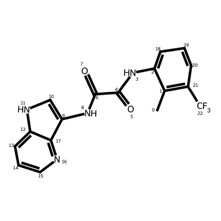 Cc1c(NC(=O)C(=O)Nc2c[nH]c3cccnc23)cccc1C(F)(F)F